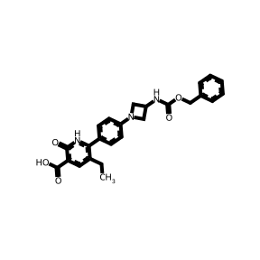 CCc1cc(C(=O)O)c(=O)[nH]c1-c1ccc(N2CC(NC(=O)OCc3ccccc3)C2)cc1